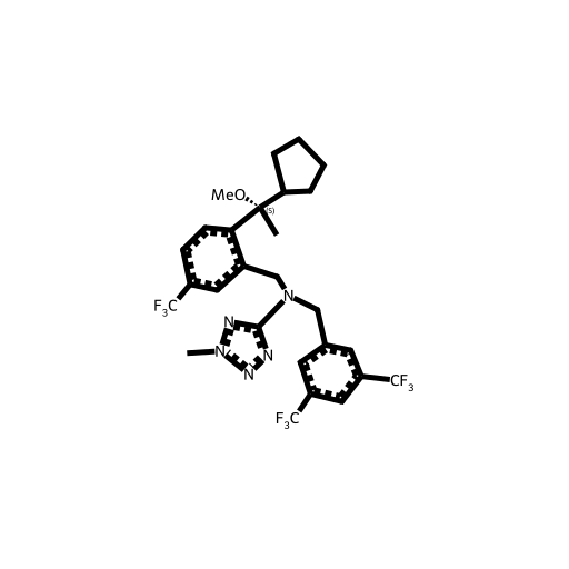 CO[C@](C)(c1ccc(C(F)(F)F)cc1CN(Cc1cc(C(F)(F)F)cc(C(F)(F)F)c1)c1nnn(C)n1)C1CCCC1